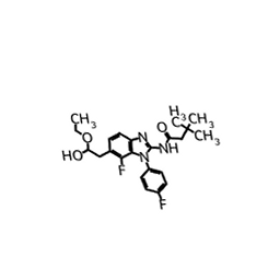 CCOC(O)Cc1ccc2nc(NC(=O)CC(C)(C)C)n(-c3ccc(F)cc3)c2c1F